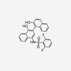 O=S(=O)(Nc1cc(-c2c(O)ccc3ccccc23)c(O)c2ccccc12)c1c(F)cccc1F